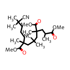 COC(=O)C(C)CC(C)(CC(C)(C#N)CC(C)(CCCC(C)(C)C#N)C(=O)OC)C(=O)OC